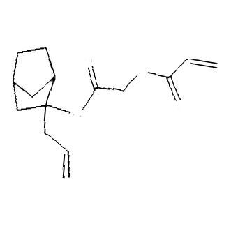 C=CCC1(OC(=O)COC(=O)C=C)CC2CCC1C2